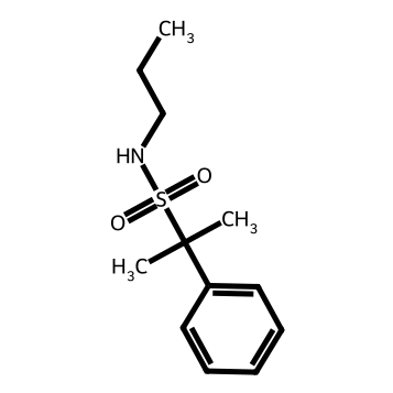 CCCNS(=O)(=O)C(C)(C)c1ccccc1